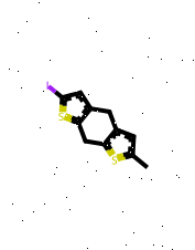 Cc1cc2c(s1)Cc1sc(I)cc1C2